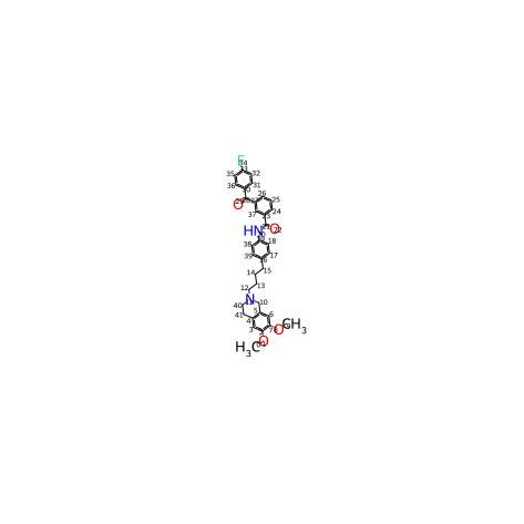 COc1cc2c(cc1OC)CN(CCCCc1ccc(NC(=O)c3cccc(C(=O)c4ccc(F)cc4)c3)cc1)CC2